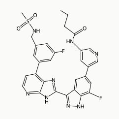 CCCC(=O)Nc1cncc(-c2cc(F)c3[nH]nc(-c4nc5c(-c6cc(F)cc(CNS(C)(=O)=O)c6)ccnc5[nH]4)c3c2)c1